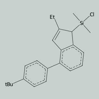 CCC1=Cc2c(-c3ccc(C(C)(C)C)cc3)cccc2C1[Si](C)(C)Cl